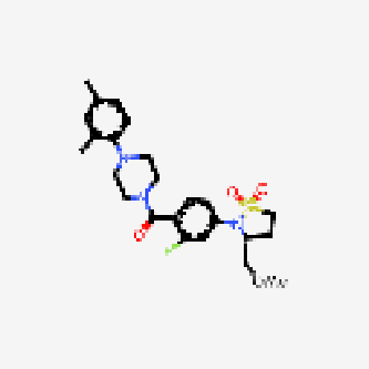 COC[C@@H]1CCS(=O)(=O)N1c1ccc(C(=O)N2CCN(c3ccc(C)cc3C)CC2)c(F)c1